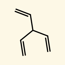 C=CC(C=C)C=C